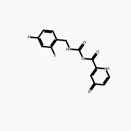 O=C(NCc1ccc(F)cc1F)OC(=O)c1cc(=O)cc[nH]1